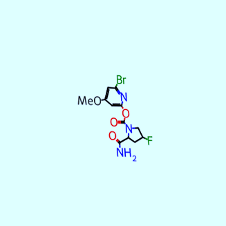 COc1cc(Br)nc(OC(=O)N2CC(F)CC2C(N)=O)c1